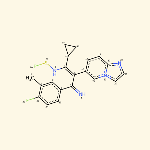 Cc1cc(C(=N)/C(=C(\NSF)C2CC2)c2ccc3nccn3c2)ccc1F